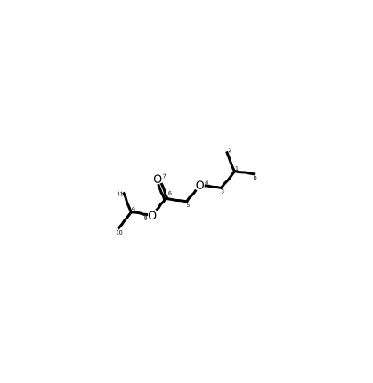 CC(C)COCC(=O)OC(C)C